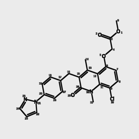 COC(=O)COc1ccc(Cl)c2c1c(C)c(Cc1ccc(-n3cccn3)cc1)c(=O)n2C